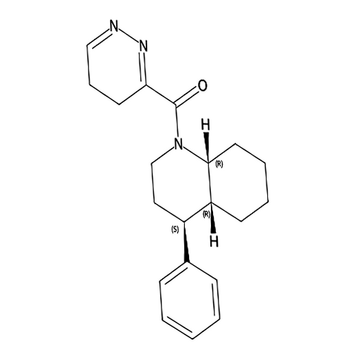 O=C(C1=NN=CCC1)N1CC[C@H](c2ccccc2)[C@H]2CCCC[C@H]21